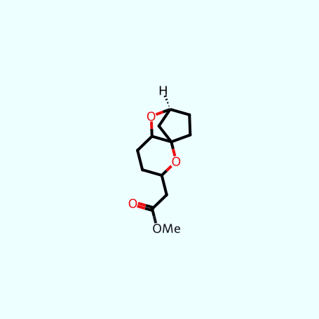 COC(=O)CC1CCC2O[C@H]3CCC2(C3)O1